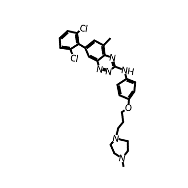 Cc1cc(-c2c(Cl)cccc2Cl)cc2nnc(Nc3ccc(OCCCN4CCN(C)CC4)cc3)nc12